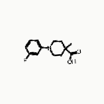 CC1(C(=O)O)CCN(c2cccc(F)c2)CC1